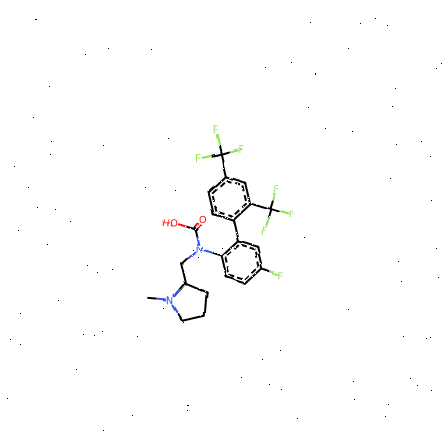 CN1CCCC1CN(C(=O)O)c1ccc(F)cc1-c1ccc(C(F)(F)F)cc1C(F)(F)F